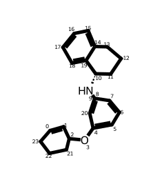 C1=CC(Oc2cccc(N[C@H]3CCCc4ccccc43)c2)CCC1